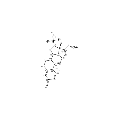 CC(=O)OCC(=O)[C@@]1(C)[C@H](C(F)(F)C(F)(F)F)CC2C3CCC4=CC(=O)C=C[C@]4(C)C3=CC[C@@]21C